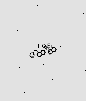 CCC(=NO)c1c(-c2ccc3c4c(ccc3c2)C2=C(CCC=C2)CC4)ccc2ccccc12